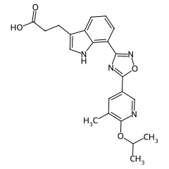 Cc1cc(-c2nc(-c3cccc4c(CCC(=O)O)c[nH]c34)no2)cnc1OC(C)C